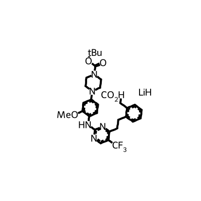 COc1cc(N2CCN(C(=O)OC(C)(C)C)CC2)ccc1Nc1ncc(C(F)(F)F)c(CCc2ccccc2CC(=O)O)n1.[LiH]